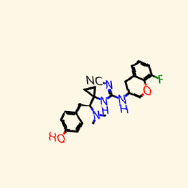 CN(C)[C@@H](Cc1ccc(O)cc1)C1(NC(=NC#N)NC2COc3c(F)cccc3C2)CC1